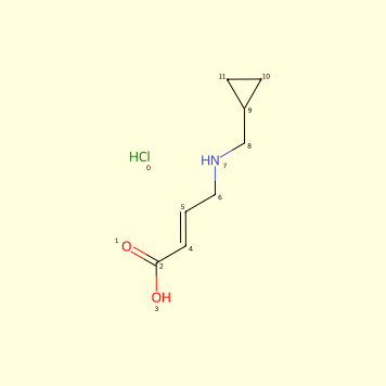 Cl.O=C(O)/C=C/CNCC1CC1